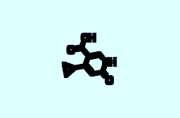 O=C(O)c1c[nH]c(=O)cc1C1CC1